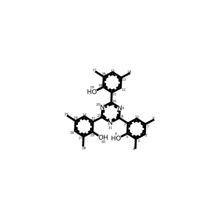 Cc1cc(C)c(O)c(-c2nc(-c3cc(C)cc(C)c3O)nc(-c3cc(C)cc(C)c3O)n2)c1